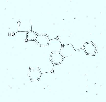 Cc1c(C(=O)O)oc2ccc(SN(CCc3ccccc3)c3ccc(Oc4ccccc4)cc3)cc12